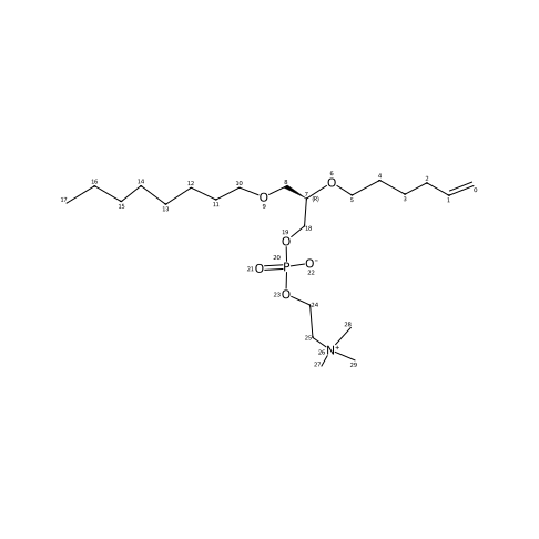 C=CCCCCO[C@H](COCCCCCCCC)COP(=O)([O-])OCC[N+](C)(C)C